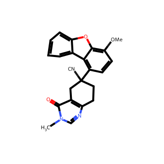 [C-]#[N+]C1(c2ccc(OC)c3oc4ccccc4c23)CCc2ncn(C)c(=O)c2C1